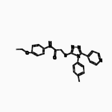 CCOc1ccc(NC(=O)CSc2nnc(-c3ccncc3)n2-c2ccc(C)cc2)cc1